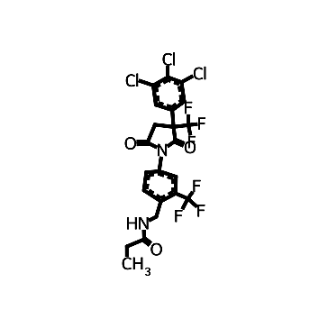 CCC(=O)NCc1ccc(N2C(=O)CC(c3cc(Cl)c(Cl)c(Cl)c3)(C(F)(F)F)C2=O)cc1C(F)(F)F